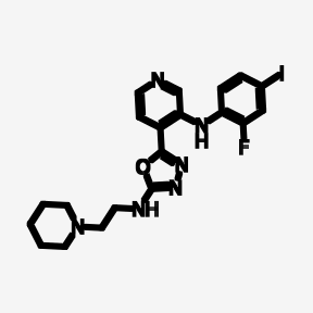 Fc1cc(I)ccc1Nc1cnccc1-c1nnc(NCCN2CCCCC2)o1